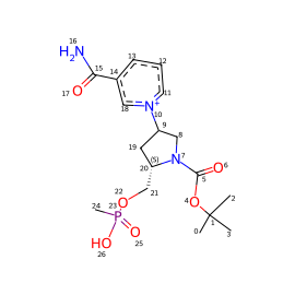 CC(C)(C)OC(=O)N1CC([n+]2cccc(C(N)=O)c2)C[C@H]1COP(C)(=O)O